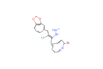 CNNC(=C(Cl)CC1=CC2=C(CC=C1)OCO2)C1=C\CC/C=N\C(Br)\C=C\1